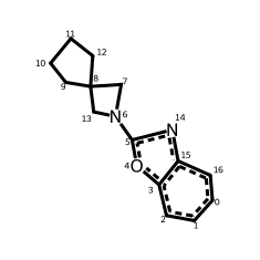 c1ccc2oc(N3CC4(CCCC4)C3)nc2c1